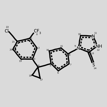 FC(F)(F)c1cc(C2(c3ccc(-n4cn[nH]c4=S)cc3)CC2)ccc1Cl